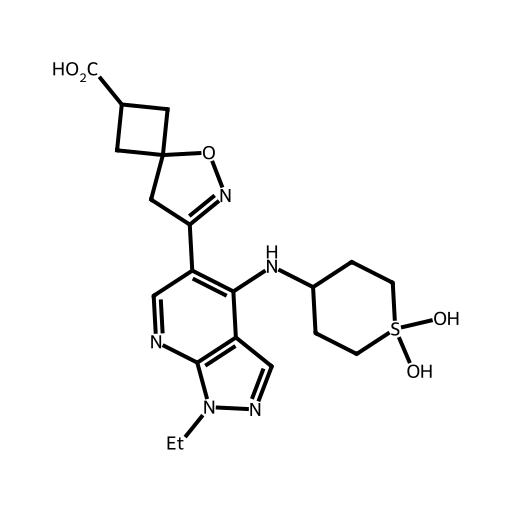 CCn1ncc2c(NC3CCS(O)(O)CC3)c(C3=NOC4(C3)CC(C(=O)O)C4)cnc21